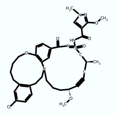 COc1nn(C)cc1C(=O)NS1(=O)=NC(=O)c2ccc3c(c2)N(CCC[C@@H](OC)C#CC[C@H](C)C1)CCc1ccc(Cl)cc1CCCCO3